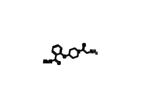 CNC(=O)c1ccccc1OC1CCN(C(=O)CN)CC1